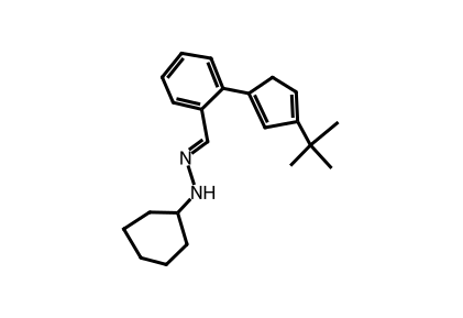 CC(C)(C)C1=CCC(c2ccccc2/C=N/NC2CCCCC2)=C1